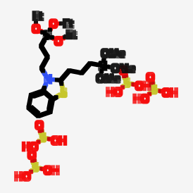 CCO[Si](CCCN1c2ccccc2SC1CCC[Si](OC)(OC)OC)(OCC)OCC.O=S(O)O.O=S(O)O.O=S(O)O.O=S(O)O